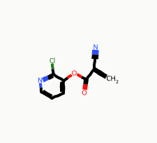 C=C(C#N)C(=O)Oc1cccnc1Cl